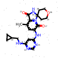 Cc1cc(Nc2cc(NCC3CC3)ncn2)c(=O)n2c1C(=O)NC21CCOCC1